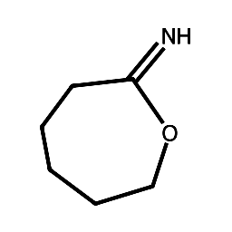 N=C1CCCCCO1